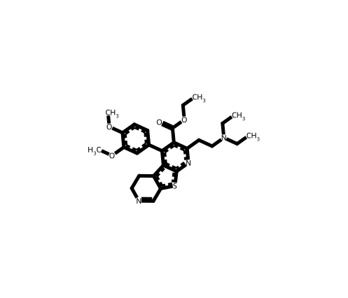 CCOC(=O)c1c(CCN(CC)CC)nc2sc3c(c2c1-c1ccc(OC)c(OC)c1)CCN=C3